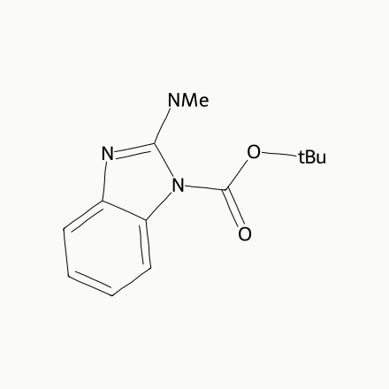 CNc1nc2ccccc2n1C(=O)OC(C)(C)C